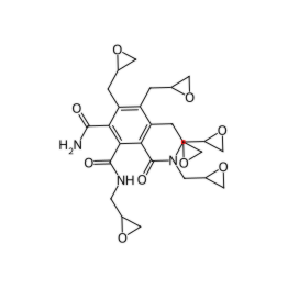 NC(=O)c1c(CC2CO2)c(CC2CO2)c(CC2CO2)c(C(=O)N(CC2CO2)CC2CO2)c1C(=O)NCC1CO1